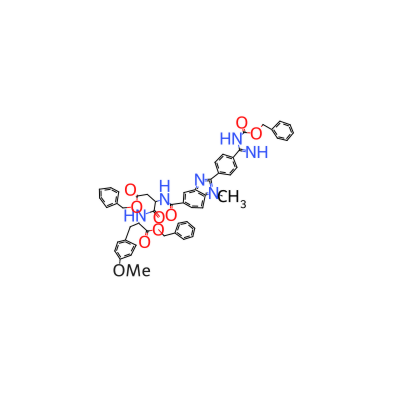 COc1ccc(CC(NC(=O)C(CC(=O)OCc2ccccc2)NC(=O)c2ccc3c(c2)nc(-c2ccc(C(=N)NC(=O)OCc4ccccc4)cc2)n3C)C(=O)OCc2ccccc2)cc1